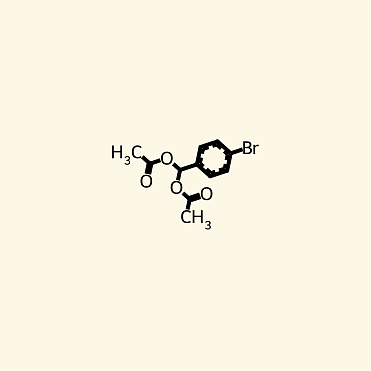 CC(=O)OC(OC(C)=O)c1ccc(Br)cc1